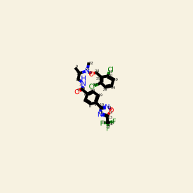 CC(CNC(=O)c1ccc(-c2noc(C(F)(F)F)n2)cc1)N(C)OCc1c(Cl)cccc1Cl